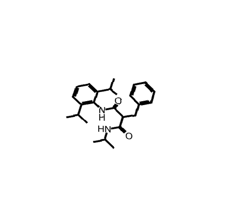 CC(C)NC(=O)C(Cc1ccccc1)C(=O)Nc1c(C(C)C)cccc1C(C)C